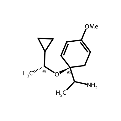 COC1=CC[C@](O[C@H](C)C2CC2)(C(C)N)C=C1